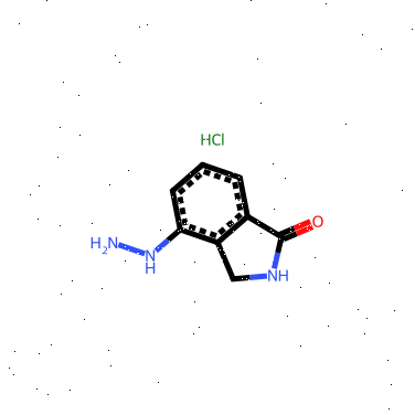 Cl.NNc1cccc2c1CNC2=O